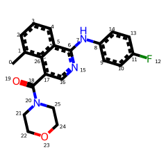 Cc1cccc2c(Nc3ccc(F)cc3)ncc(C(=O)N3CCOCC3)c12